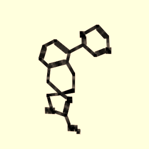 NC1=N[C@]2(CCc3c(cccc3-c3cnccn3)C2)CN1